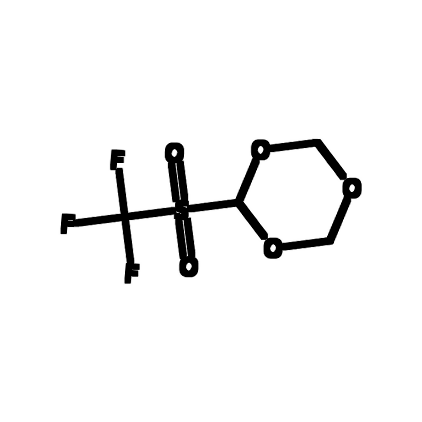 O=S(=O)(C1OCOCO1)C(F)(F)F